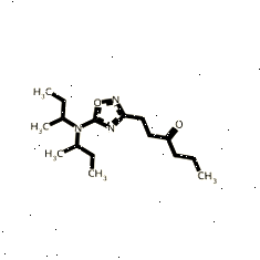 CCCC(=O)CCc1noc(N(C(C)CC)C(C)CC)n1